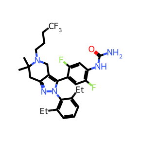 CCc1cccc(CC)c1-n1nc2c(c1-c1cc(F)c(NC(N)=O)cc1F)CN(CCCC(F)(F)F)C(C)(C)C2